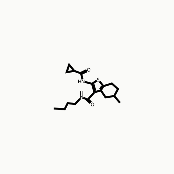 CCCCNC(=O)c1c(NC(=O)C2CC2)sc2c1CC(C)CC2